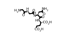 NCC(=O)NCC(=O)N[C@@H](CC(N)=O)C(=O)N[C@@H](CCC(=O)O)C(=O)O